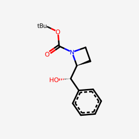 CC(C)(C)OC(=O)N1CC[C@H]1[C@@H](O)c1ccccc1